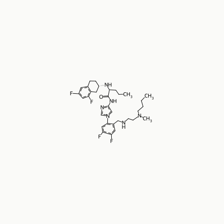 CCCCN(C)CCNCc1cc(F)c(F)cc1-n1cnc(NC(=O)C(CCC)N[C@H]2CCc3cc(F)cc(F)c3C2)c1